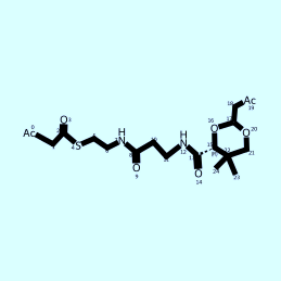 CC(=O)CC(=O)SCCNC(=O)CCNC(=O)[C@@H]1OC(CC(C)=O)OCC1(C)C